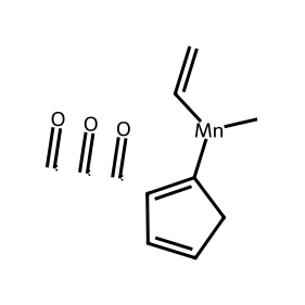 C=[CH][Mn]([CH3])[C]1=CC=CC1.[C]=O.[C]=O.[C]=O